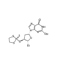 CC[C@H]1O[C@@H](n2cnc3c(=O)[nH]c(O)nc32)C[C@@H]1OP1(=S)SCCS1